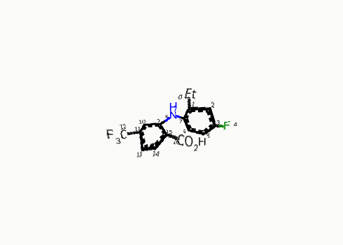 CCc1cc(F)ccc1Nc1cc(C(F)(F)F)ccc1C(=O)O